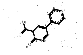 O=C(O)C1C=C(c2ccncc2)C=NC1=O